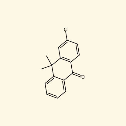 CC1(C)c2ccccc2C(=O)c2ccc(Cl)cc21